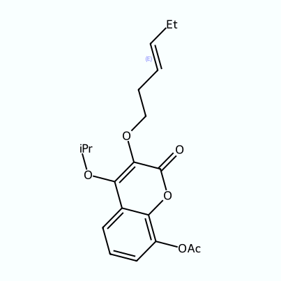 CC/C=C/CCOc1c(OC(C)C)c2cccc(OC(C)=O)c2oc1=O